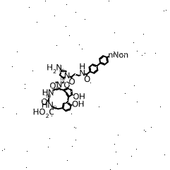 CCCCCCCCCc1ccc(-c2ccc(C(=O)NCCC(=O)N3C[C@H](N)C[C@H]3C(=O)N(C)[C@@H]3C(=O)N[C@@H](C)C(=O)N[C@H](C(=O)O)Cc4ccc(O)c(c4)-c4cc3ccc4O)cc2)cc1